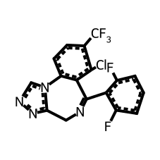 Fc1cccc(F)c1C1=NCc2nncn2-c2ccc(C(F)(F)F)c(Cl)c21